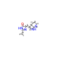 O=C1NC(C2CC2)=N/C1=C\C1=CNC2N=CC=CC12